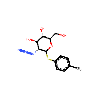 Cc1ccc(SC2O[C@H](CO)[C@@H](O)[C@H](O)[C@H]2N=[N+]=[N-])cc1